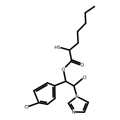 CCCCCC(S)C(=O)OC(c1ccc(Cl)cc1)C(Cl)n1ccnc1